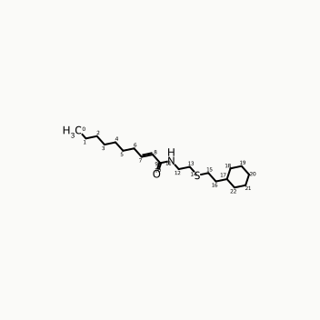 CCCCCCCC=CC(=O)NCCSCCC1CCCCC1